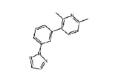 Cc1ccc(-c2cccc(-n3nccn3)c2)c(C)n1